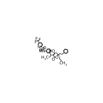 CCCC[C@@]1(CCc2ccccc2)CC(O)=C(C(CC)c2cccc(NS(=O)(=O)c3ccc(C(F)(F)F)cn3)c2)C(=O)O1